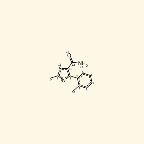 Cc1nc(-c2ccccc2C)c(C(N)=O)s1